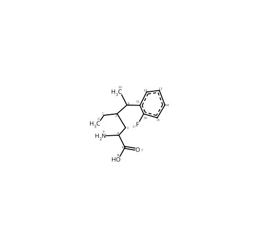 CCC(CC(N)C(=O)O)C(C)c1ccccc1F